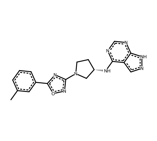 Cc1cccc(-c2nc(N3CC[C@H](Nc4ncnc5[nH]ncc45)C3)no2)c1